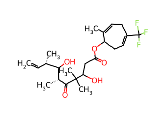 C=C[C@H](C)C(O)[C@@H](C)C(=O)C(C)(C)C(O)CC(=O)OC1CC=C(C(F)(F)F)CC=C1C